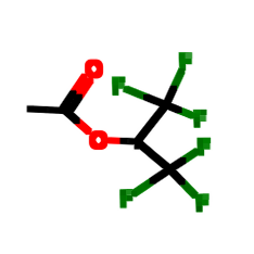 CC(=O)O[C](C(F)(F)F)C(F)(F)F